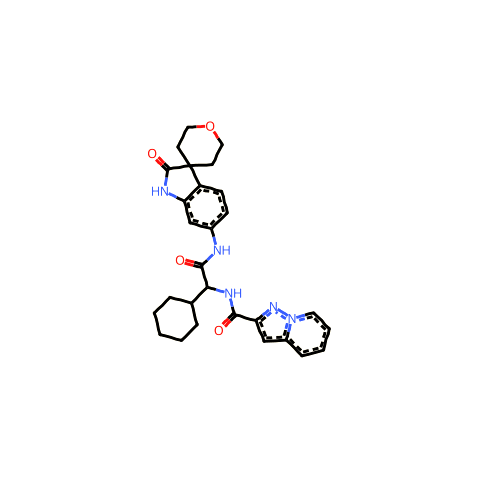 O=C(NC(C(=O)Nc1ccc2c(c1)NC(=O)C21CCOCC1)C1CCCCC1)c1cc2ccccn2n1